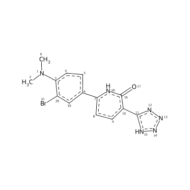 CN(C)c1ccc(-c2ccc(-c3nnn[nH]3)c(=O)[nH]2)cc1Br